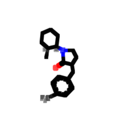 C[C@H]1CCCC[C@H]1N1CCC(Cc2ccc(C(F)(F)F)cc2)C1=O